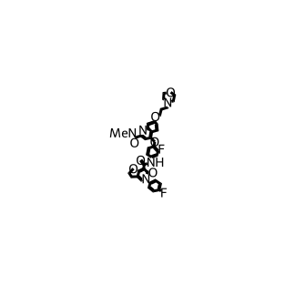 CNC(=O)c1cc(Oc2ccc(NC(=O)c3c4c(cn(-c5ccc(F)cc5)c3=O)CCO4)cc2F)c2ccc(OCCCN3CCOCC3)cc2n1